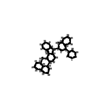 c1ccc(-c2cc(-n3c4ccccc4c4c5c(ccc43)-c3cccc4cccc(c34)S5)nc3ccccc23)cc1